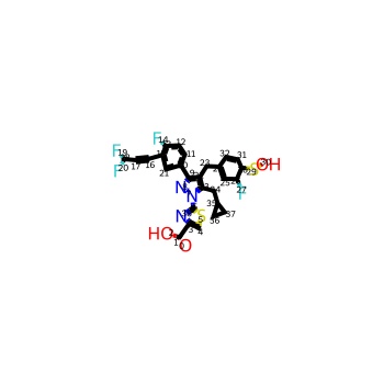 O=C(O)c1csc(-n2nc(-c3ccc(F)c(C#CC(F)F)c3)c(CC3=CC(F)C(SO)C=C3)c2CC2CC2)n1